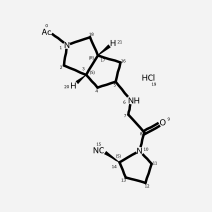 CC(=O)N1C[C@H]2CC(NCC(=O)N3CCC[C@H]3C#N)C[C@H]2C1.Cl